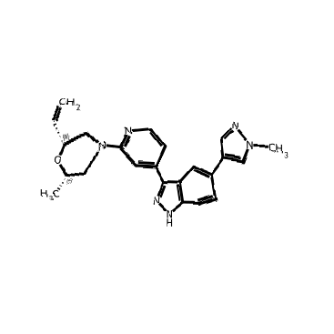 C=C[C@@H]1CN(c2cc(-c3n[nH]c4ccc(-c5cnn(C)c5)cc34)ccn2)C[C@H](C)O1